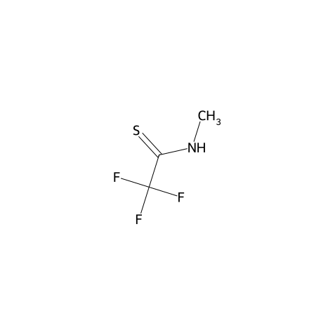 CNC(=S)C(F)(F)F